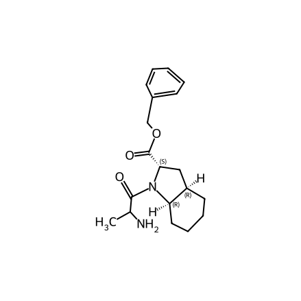 CC(N)C(=O)N1[C@@H]2CCCC[C@@H]2C[C@H]1C(=O)OCc1ccccc1